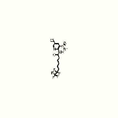 O=C(CCCCCC(F)(F)C(F)(F)F)Nc1ncc(Cl)cc1[N+](=O)[O-]